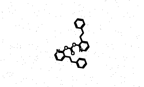 O=C(Oc1ncccc1CCc1ccccc1)Oc1ncccc1CCc1ccccc1